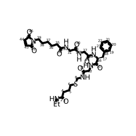 CCNC(=O)CCCSCNC(=O)CNC(=O)[C@H](Cc1ccccc1)NC(=O)CNC(=O)CNC(=O)CCCCCN1C(=O)C=CC1=O